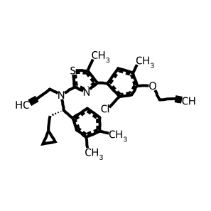 C#CCOc1cc(Cl)c(-c2nc(N(CC#C)[C@@H](CC3CC3)c3ccc(C)c(C)c3)sc2C)cc1C